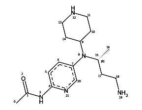 CC(=O)Nc1ccc(N(C2CCNCC2)[C@H](C)CCN)cn1